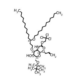 C=CCO[C@H]1O[C@H](CO[Si](C)(C)C(C)(C)C)[C@@H](O)[C@H](OCC[C@@H](CCCCCCCCCCC)OCCCCCCCCCCCC)[C@H]1NC(=O)OCC(Cl)(Cl)Cl